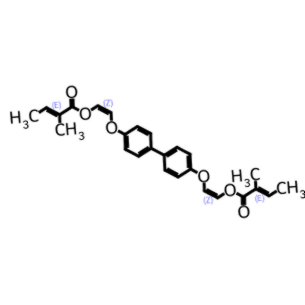 C/C=C(\C)C(=O)O/C=C\Oc1ccc(-c2ccc(O/C=C\OC(=O)/C(C)=C/C)cc2)cc1